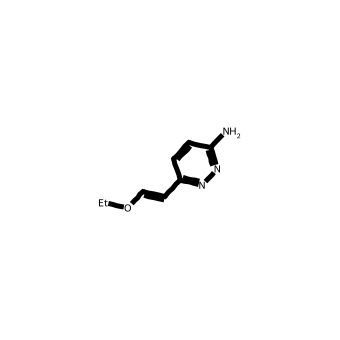 CCOC=Cc1ccc(N)nn1